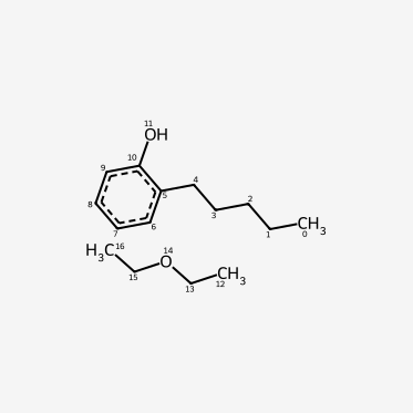 CCCCCc1ccccc1O.CCOCC